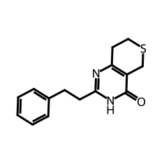 O=c1[nH]c(CCc2ccccc2)nc2c1CSCC2